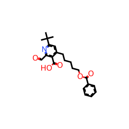 CC(C)(C)c1cc(CCCCCOC(=O)c2ccccc2)c(C(=O)O)c(C=O)n1